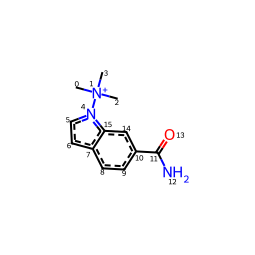 C[N+](C)(C)n1ccc2ccc(C(N)=O)cc21